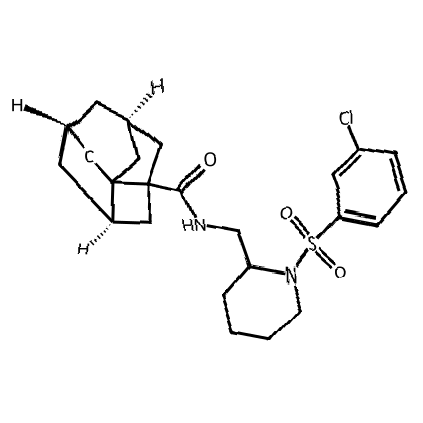 O=C(NCC1CCCCN1S(=O)(=O)c1cccc(Cl)c1)C12C[C@@H]3C[C@H]4C[C@H](C1)C2(C4)C3